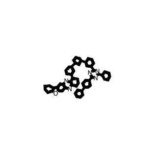 c1ccc(-c2ccc(-c3nc(-c4ccccc4)nc(-c4cccc(-c5cccc(-c6cccc(-c7cccc8nc9cc%10oc%11ccccc%11c%10cc9nc78)c6)c5)c4)n3)cc2)cc1